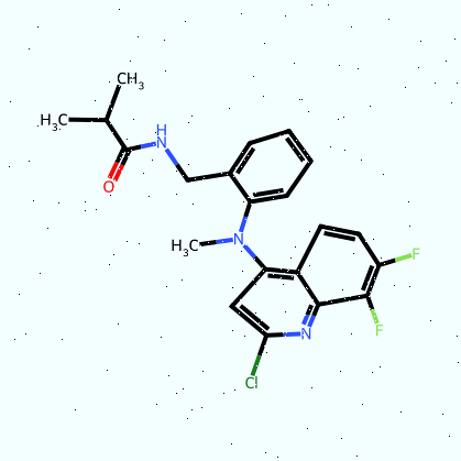 CC(C)C(=O)NCc1ccccc1N(C)c1cc(Cl)nc2c(F)c(F)ccc12